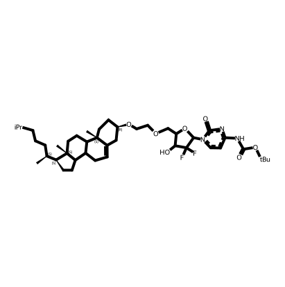 CC(C)CCC[C@H](C)[C@@H]1CCC2C3CC=C4C[C@H](OCCOCC5OC(n6ccc(NC(=O)OC(C)(C)C)nc6=O)C(F)(F)C5O)CC[C@@]4(C)C3CC[C@]21C